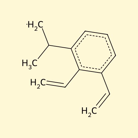 [CH2]C(C)c1cccc(C=C)c1C=C